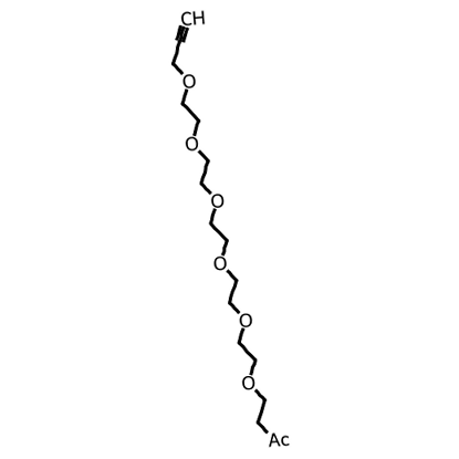 C#CCOCCOCCOCCOCCOCCOCCC(C)=O